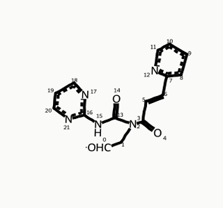 O=[C]CN(C(=O)C=Cc1ccccn1)C(=O)Nc1ncccn1